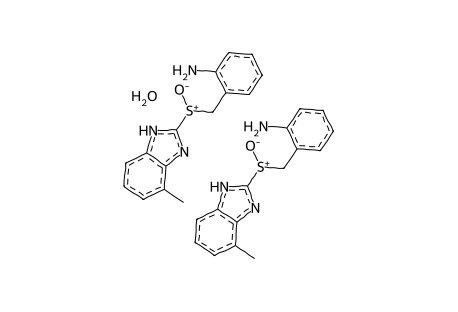 Cc1cccc2[nH]c([S+]([O-])Cc3ccccc3N)nc12.Cc1cccc2[nH]c([S+]([O-])Cc3ccccc3N)nc12.O